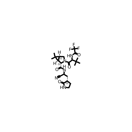 CC(C)(C)C(NC(=O)C(F)(F)F)C(=O)N1C[C@H]2[C@@H]([C@H]1C(=O)NC(C#N)C[C@@H]1CCNC1=O)C2(C)C